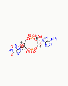 Nc1ncnc2c1ncn2[C@@H]1O[C@@H]2COP(=O)(O)O[C@@H]3[C@H](O)[C@@H](COP(=O)(O)O[C@H]2[C@H]1O)O[C@H]3n1cnc2c(=O)[nH]c(=O)[nH]c21